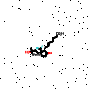 CCCCCC(C)(O)CC[C@]1([C](F)F)CCC(=O)[C@@H]1CC=CCCCC(=O)O